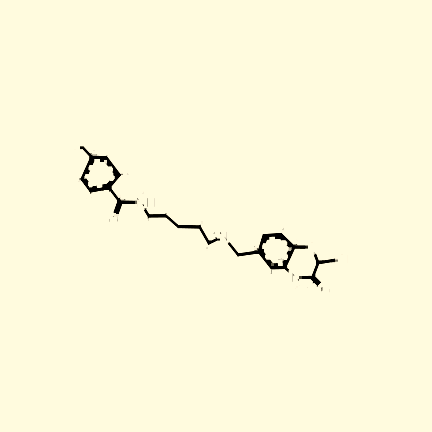 CC1Oc2ccc(CNCCCCCNC(=O)c3ccc(Cl)cc3)cc2NC1=O